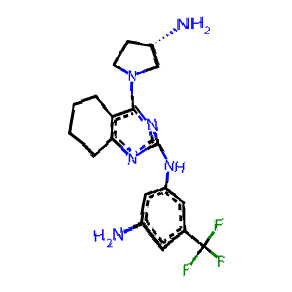 Nc1cc(Nc2nc3c(c(N4CC[C@H](N)C4)n2)CCCC3)cc(C(F)(F)F)c1